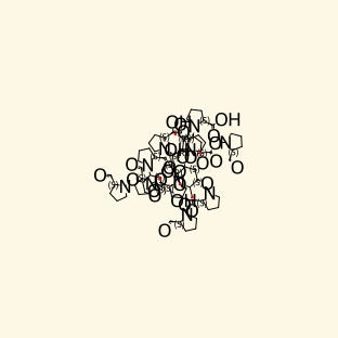 C[C@@H]1C(N2CCC[C@H]2C(=O)O)C[C@](O[C@@H]2C(ON3CCC[C@H]3C=O)[C@H](O[C@H]3C(N4CCC[C@H]4C(=O)O)C(ON4CCC[C@H]4C=O)CO[C@H]3CO)OC(CON3CCC[C@H]3C=O)[C@@H]2ON2CCC[C@H]2C=O)(C(=O)ON2CCC[C@H]2C=O)O[C@H]1[C@@H]([C@@H](CON1CCC[C@H]1C=O)ON1CCC[C@H]1C=O)N1CCC[C@H]1C(=O)O